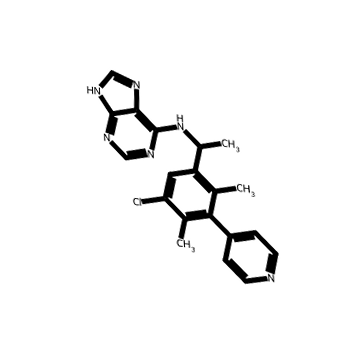 Cc1c(Cl)cc(C(C)Nc2ncnc3[nH]cnc23)c(C)c1-c1ccncc1